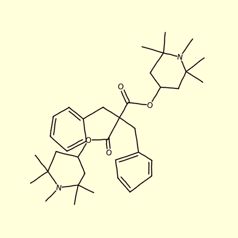 CN1C(C)(C)CC(OC(=O)C(Cc2ccccc2)(Cc2ccccc2)C(=O)OC2CC(C)(C)N(C)C(C)(C)C2)CC1(C)C